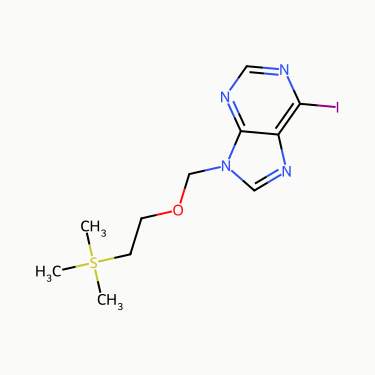 CS(C)(C)CCOCn1cnc2c(I)ncnc21